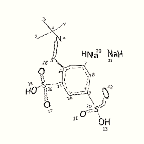 CC(C)(C)N=Cc1ccc(S(=O)(=O)O)cc1S(=O)(=O)O.[NaH].[NaH]